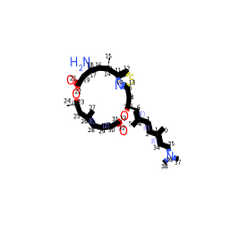 CC(/C=C/C(C)=C/[C@@H]1Cc2nc(cs2)[C@@H](C)C[C@@H](N)CC(=O)O[C@@H](C)C/C(C)=C/C=C\C(=O)O1)=C\CN(C)C